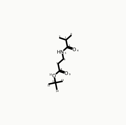 CC(C)C(=O)NCCC(=O)OC(C)(C)C